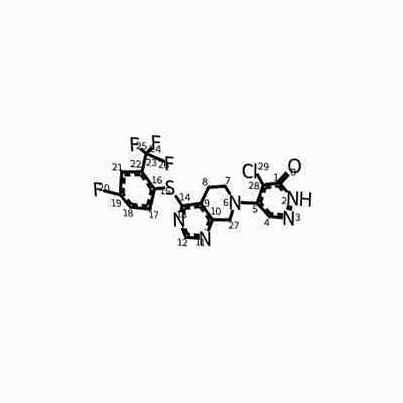 O=c1[nH]ncc(N2CCc3c(ncnc3Sc3ccc(F)cc3C(F)(F)F)C2)c1Cl